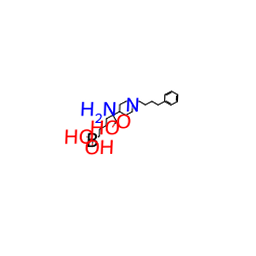 NC(CCCCB(O)O)(C(=O)O)C1CCN(CCCCc2ccccc2)CC1